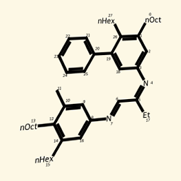 CCCCCCCCc1cc(N=C(C=Nc2cc(C)c(CCCCCCCC)c(CCCCCC)c2)CC)cc(-c2ccccc2)c1CCCCCC